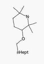 CCCCCCCCOC1CCC(C)(C)[N]C1(C)C